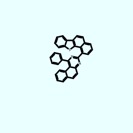 c1ccc(-c2nc(-c3cccc4ccc5c6ccccc6sc5c34)nc3ccc4ccccc4c23)cc1